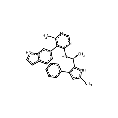 Cc1cc(-c2ccccc2)c([C@H](C)Nc2ncnc(N)c2-c2ccc3cc[nH]c3c2)[nH]1